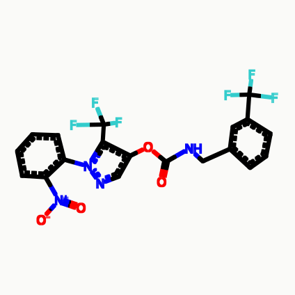 O=C(NCc1cccc(C(F)(F)F)c1)Oc1cnn(-c2ccccc2[N+](=O)[O-])c1C(F)(F)F